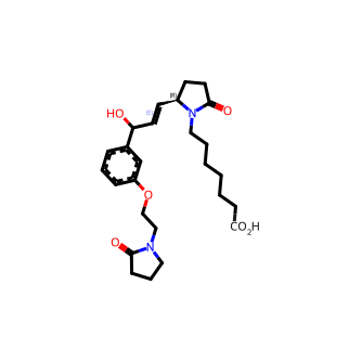 O=C(O)CCCCCCN1C(=O)CC[C@@H]1/C=C/C(O)c1cccc(OCCN2CCCC2=O)c1